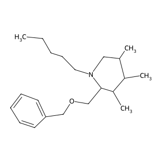 CCCCCN1CC(C)C(C)C(C)C1COCc1ccccc1